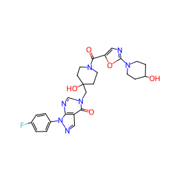 O=C(c1cnc(N2CCC(O)CC2)o1)N1CCC(O)(Cn2cnc3c(cnn3-c3ccc(F)cc3)c2=O)CC1